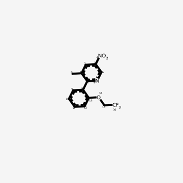 Cc1cc([N+](=O)[O-])cnc1-c1ccccc1OCC(F)(F)F